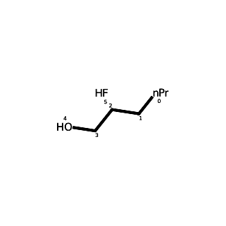 CCCCCCO.F